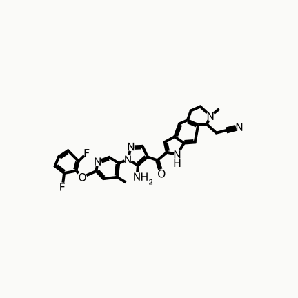 Cc1cc(Oc2c(F)cccc2F)ncc1-n1ncc(C(=O)c2cc3cc4c(cc3[nH]2)C(CC#N)N(C)CC4)c1N